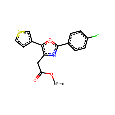 CCCCCOC(=O)Cc1nc(-c2ccc(Cl)cc2)oc1-c1ccsc1